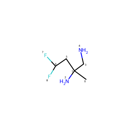 CC(N)(CN)CC(F)F